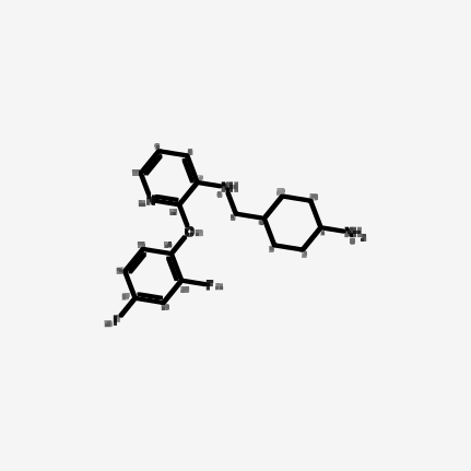 NC1CCC(CNc2cccnc2Oc2ccc(F)cc2F)CC1